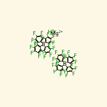 Br.Fc1c(F)c(F)c([B-](c2c(F)c(F)c(F)c(F)c2F)(c2c(F)c(F)c(F)c(F)c2F)c2c(F)c(F)c(F)c(F)c2F)c(F)c1F.Fc1c(F)c(F)c([B-](c2c(F)c(F)c(F)c(F)c2F)(c2c(F)c(F)c(F)c(F)c2F)c2c(F)c(F)c(F)c(F)c2F)c(F)c1F.[Mg+2]